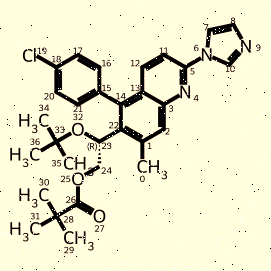 Cc1cc2nc(-n3ccnc3)ccc2c(-c2ccc(Cl)cc2)c1[C@H](COC(=O)C(C)(C)C)OC(C)(C)C